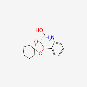 Nc1ccccc1[C@H]1OC2(CCCCC2)O[C@@H]1CO